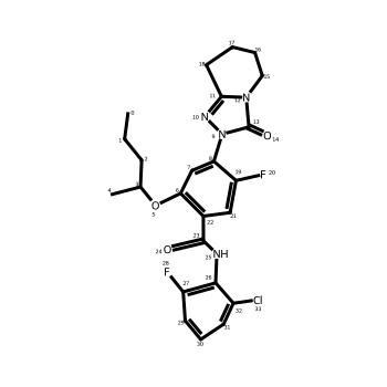 CCCC(C)Oc1cc(-n2nc3n(c2=O)CCCC3)c(F)cc1C(=O)Nc1c(F)cccc1Cl